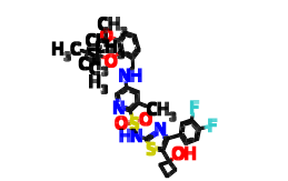 COc1cccc(CNc2cnc(S(=O)(=O)Nc3nc(-c4ccc(F)c(F)c4)c(C4(O)CCC4)s3)c(C)c2)c1O[Si](C)(C)C(C)(C)C